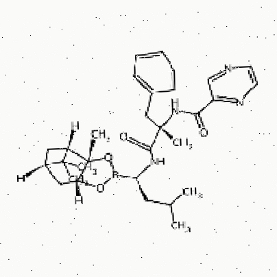 CC(C)C[C@H](NC(=O)[C@](C)(Cc1ccccc1)NC(=O)c1cnccn1)B1O[C@@H]2C[C@@H]3C[C@@H](C3(C)C)[C@]2(C)O1